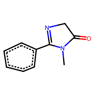 CN1C(=O)CN=C1c1ccccc1